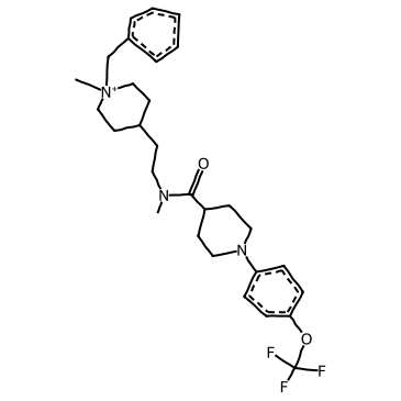 CN(CCC1CC[N+](C)(Cc2ccccc2)CC1)C(=O)C1CCN(c2ccc(OC(F)(F)F)cc2)CC1